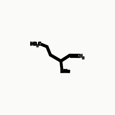 C=CC(CCC(=O)O)NC